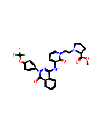 COC(=O)C1CCCN1CCn1cccc(Nc2nn(-c3ccc(OC(F)(F)F)cc3)c(=O)c3ccccc23)c1=O